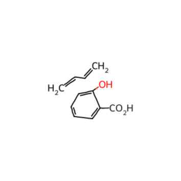 C=CC=C.O=C(O)c1ccccc1O